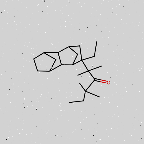 CCC(C)(C)C(=O)C(C)(C)C1(CC)CC2CC1C1C3CCC(C3)C21